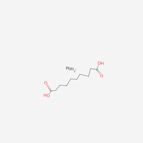 O=C(O)CCCCCCCCC(=O)O.[PbH2]